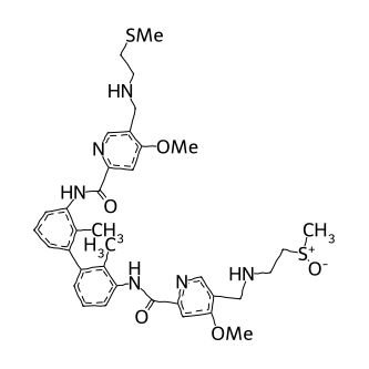 COc1cc(C(=O)Nc2cccc(-c3cccc(NC(=O)c4cc(OC)c(CNCC[S+](C)[O-])cn4)c3C)c2C)ncc1CNCCSC